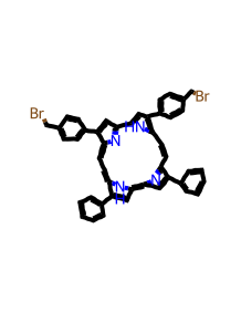 BrCc1ccc(C2=Cc3nc2ccc2[nH]c(cc2-c2ccccc2)c2nc(ccc4[nH]c3cc4-c3ccc(CBr)cc3)C(c3ccccc3)=C2)cc1